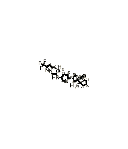 Cc1cc(C(F)(F)F)nn1CC(=O)Nc1cnc(-n2cnc([C@@]3(C)CCCS3(=O)=O)c2)c(F)c1